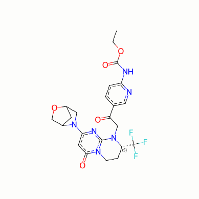 CCOC(=O)Nc1ccc(C(=O)CN2c3nc(N4CC5CC4CO5)cc(=O)n3CC[C@H]2C(F)(F)F)cn1